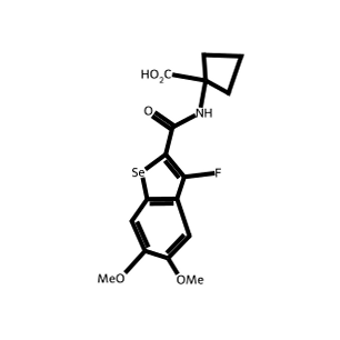 COc1cc2[se]c(C(=O)NC3(C(=O)O)CCC3)c(F)c2cc1OC